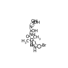 Cc1[nH]c(C=C2C(=O)Nc3ccc(Br)cc32)c(C)c1C(=O)NC[C@H](O)CN1CCS(O)(O)CC1